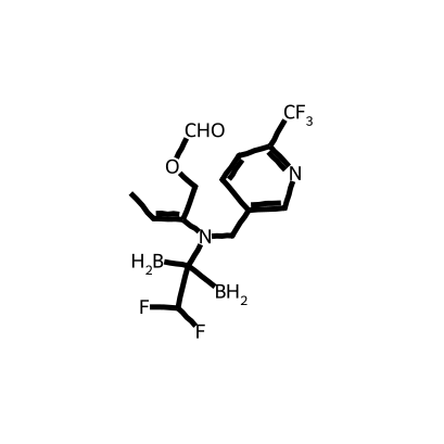 BC(B)(C(F)F)N(Cc1ccc(C(F)(F)F)nc1)/C(=C/C)COC=O